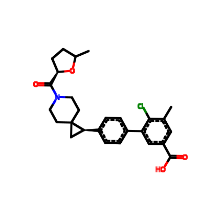 Cc1cc(C(=O)O)cc(-c2ccc([C@H]3CC34CCN(C(=O)[C@H]3CCC(C)O3)CC4)cc2)c1Cl